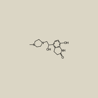 CN1CCN(CC(O)c2ccc(O)c3c2CCC(=O)N3)CC1